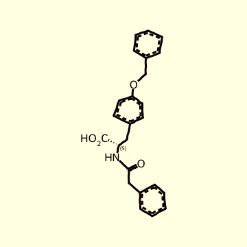 O=C(Cc1ccccc1)N[C@@H](Cc1ccc(OCc2ccccc2)cc1)C(=O)O